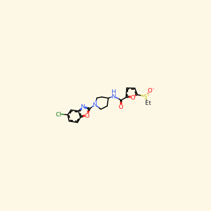 CC[S+]([O-])c1ccc(C(=O)NC2CCN(c3nc4cc(Cl)ccc4o3)CC2)o1